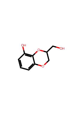 OCC1COc2cccc(O)c2O1